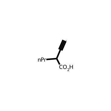 [C]#CC(CCC)C(=O)O